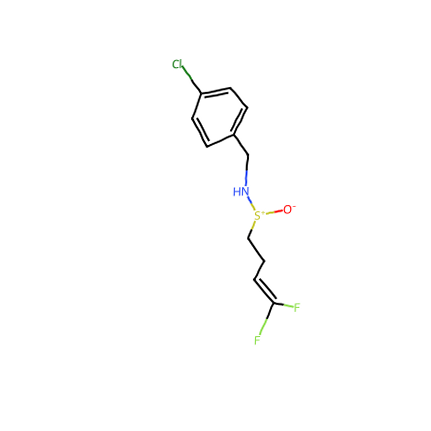 [O-][S+](CCC=C(F)F)NCc1ccc(Cl)cc1